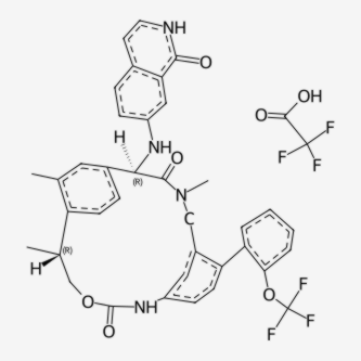 Cc1cc2ccc1[C@@H](C)COC(=O)Nc1ccc(-c3ccccc3OC(F)(F)F)c(c1)CN(C)C(=O)[C@@H]2Nc1ccc2cc[nH]c(=O)c2c1.O=C(O)C(F)(F)F